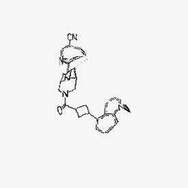 C[C@H]1CC2CN(C(=O)C3CC(c4cccc5ncccc45)C3)CC1N2c1ccc(C#N)cn1